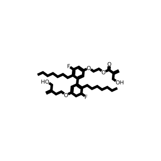 C=C(CO)CCOC1=CC(c2cc(OCCOC(=O)C(=C)CO)cc(F)c2CCCCCCC)=C(CCCCCCC)C(F)C1